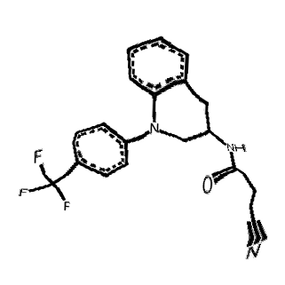 N#CCC(=O)NC1Cc2ccccc2N(c2ccc(C(F)(F)F)cc2)C1